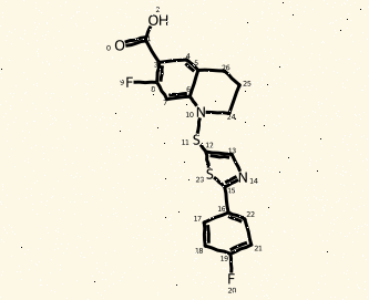 O=C(O)c1cc2c(cc1F)N(Sc1cnc(-c3ccc(F)cc3)s1)CCC2